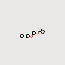 Clc1ccccc1COc1cccc(Oc2ccc(-c3[c]cccc3)cc2)c1